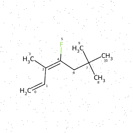 C=C/C(C)=C(/F)CC(C)(C)C